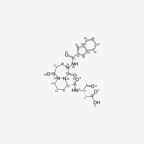 O=C[C@H](CC(=O)O)NC(=O)[C@@H]1CCCN2C(=O)CCN(NC(=O)c3cc4ccccc4s3)C(=O)N12